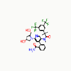 CN(C(=O)C(C)(C)c1cc(C(F)(F)F)cc(C(F)(F)F)c1)c1cnc(N2CC(O)CC2CO)cc1-c1ccccc1C(N)=O